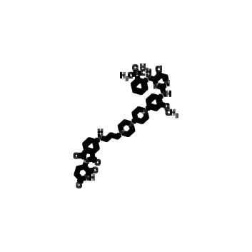 COc1cc(N2CCC(N3CCN(CCCNc4ccc5c(c4)C(=O)N(C4CCC(=O)NC4=O)C5=O)CC3)CC2)ccc1Nc1ncc(Cl)c(Nc2ccccc2P(C)(C)=O)n1